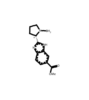 BN1CCC[C@H]1c1nc2ccc(C(=O)OC)cc2[nH]1